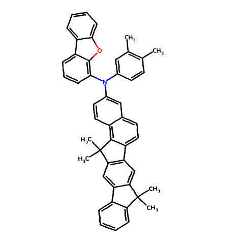 Cc1ccc(N(c2ccc3c4c(ccc3c2)-c2cc3c(cc2C4(C)C)-c2ccccc2C3(C)C)c2cccc3c2oc2ccccc23)cc1C